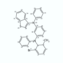 CC1C=CC=C(Br)C1N(c1ccccc1)c1cccc(N(c2ccccc2)c2csc3ccccc23)c1